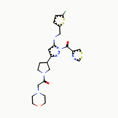 O=C(CN1CCOCC1)N1CCC(c2cc(NCc3ccc(Cl)s3)n(C(=O)c3cscn3)n2)C1